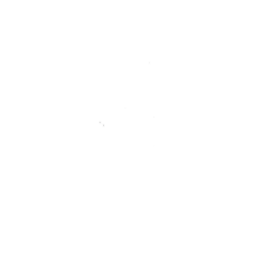 Cc1cn(C2CCCCC2)c(C(=O)C=O)c1C